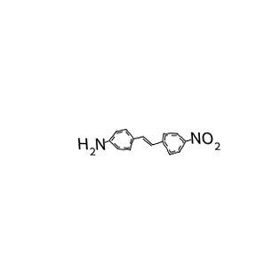 Nc1ccc(C=Cc2ccc([N+](=O)[O-])cc2)cc1